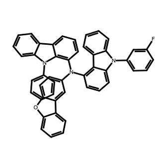 Fc1cccc(-n2c3ccccc3c3c(N(c4ccc5oc6ccccc6c5c4)c4cccc5c6ccccc6n(-c6ccccc6)c45)cccc32)c1